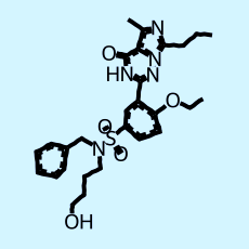 CCCc1nc(C)c2c(=O)[nH]c(-c3cc(S(=O)(=O)N(CCCCO)Cc4ccccc4)ccc3OCC)nn12